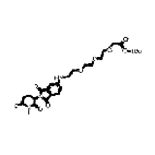 CC(C)(C)OC(=O)COCCOCCOCCNc1ccc2c(c1)C(=O)N(C1CCC(=O)NC1=O)C2=O